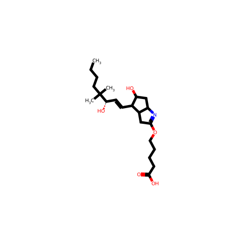 CCCCC(C)(C)[C@@H](O)C=CC1C(O)CC2N=C(OCCCCC(=O)O)CC21